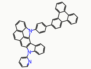 c1ccc(-n2c3ccccc3c3c2cc2ccc4cccc5c4c2c3n5-c2ccc(-c3ccc4c5ccccc5c5ccccc5c4c3)cc2)nc1